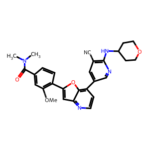 COc1cc(C(=O)N(C)C)ccc1-c1cc2nccc(-c3cnc(NC4CCOCC4)c(C#N)c3)c2o1